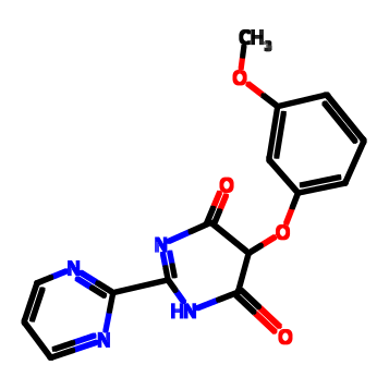 COc1cccc(OC2C(=O)N=C(c3ncccn3)NC2=O)c1